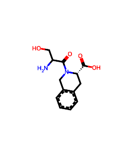 NC(CO)C(=O)N1Cc2ccccc2C[C@H]1C(=O)O